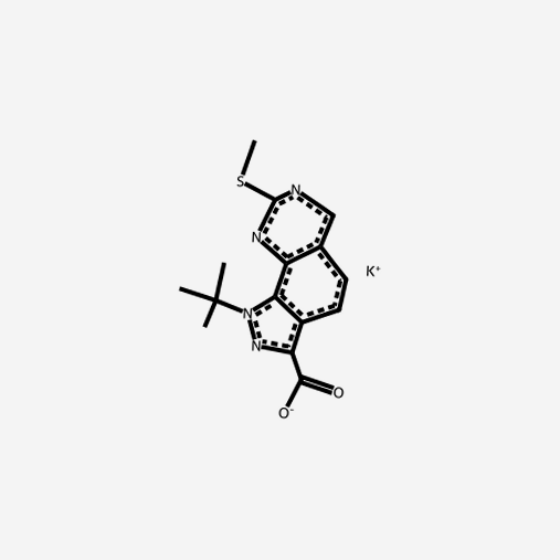 CSc1ncc2ccc3c(C(=O)[O-])nn(C(C)(C)C)c3c2n1.[K+]